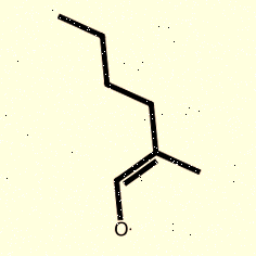 CCCCC(C)=C[O]